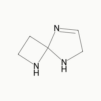 C1=NC2(CCN2)NC1